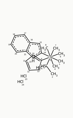 C[SiH](C)[Ti]([CH3])([CH3])([CH3])([CH3])([CH3])([C]1=CC=CC1)[c]1cc2ccccc2[nH]1.Cl.Cl